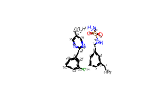 CC(C)Cc1cccc(CNS(N)(=O)=O)c1.O=C(O)c1cnc(-c2cccc(F)c2)nc1